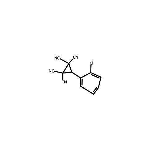 N#CC1(C#N)C(c2ccccc2Cl)C1(C#N)C#N